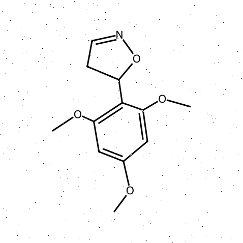 COc1cc(OC)c(C2C[C]=NO2)c(OC)c1